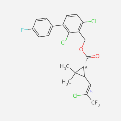 CC1(C)C(/C=C(\Cl)C(F)(F)F)[C@H]1C(=O)OCc1c(Cl)ccc(-c2ccc(F)cc2)c1Cl